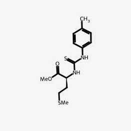 COC(=O)[C@H](CCSC)NC(=S)Nc1ccc(C)cc1